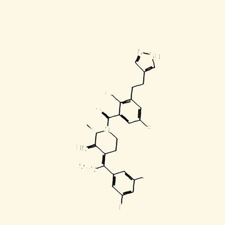 CN/C(=C1/CCN(C(=O)c2cc(F)cc(CCc3cn[nH]c3)c2Cl)[C@H](C)C1=N)c1cc(F)cc(F)c1